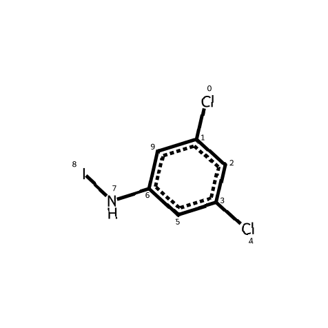 Clc1cc(Cl)cc(NI)c1